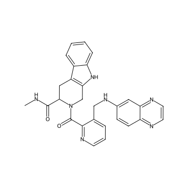 CNC(=O)C1Cc2c([nH]c3ccccc23)CN1C(=O)c1ncccc1CNc1ccc2nccnc2c1